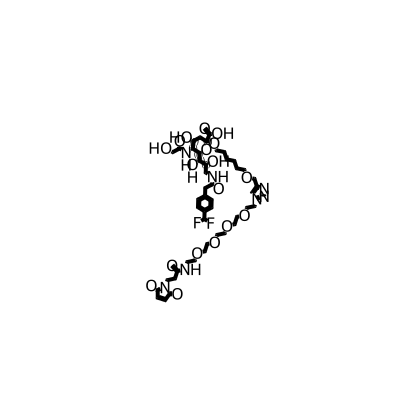 O=C(CCN1C(=O)C=CC1=O)NCCOCCOCCOCCOCCn1cc(COCCCCCCO[C@]2(C(=O)O)C[C@H](O)[C@@H](NC(=O)CO)[C@H]([C@H](O)[C@H](O)CNC(=O)Cc3ccc(C(F)F)cc3)O2)nn1